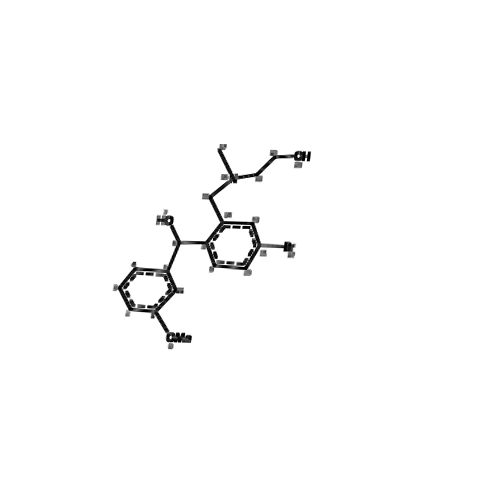 COc1cccc(C(O)c2ccc(Br)cc2CN(C)CCO)c1